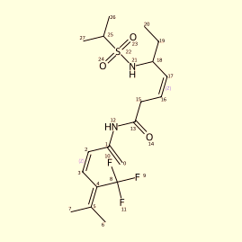 C=C(/C=C\C(=C(C)C)C(F)(F)F)NC(=O)C/C=C\C(CC)NS(=O)(=O)C(C)C